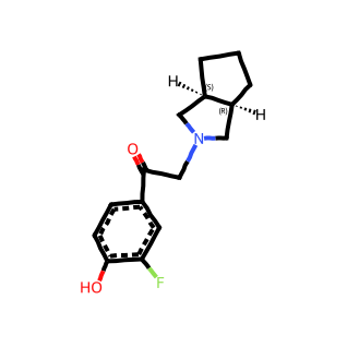 O=C(CN1C[C@H]2CCC[C@H]2C1)c1ccc(O)c(F)c1